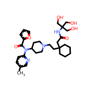 Cc1ccc(N(C(=O)c2ccco2)C2CCN(CCC3(CC(=O)NC(CO)(CO)CO)CCCCC3)CC2)nc1